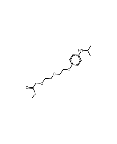 CSC(=O)COCCOCCOc1ccc(NC(C)C)cc1